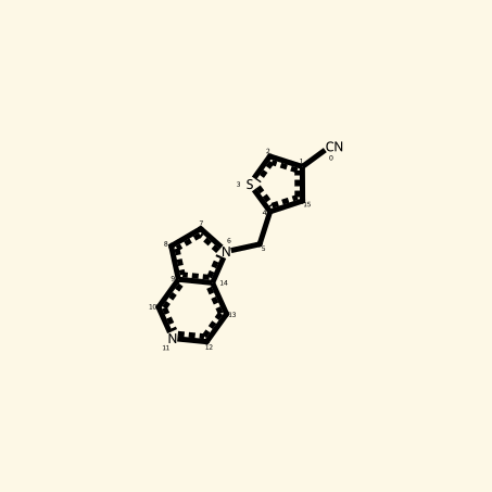 N#Cc1csc(Cn2ccc3cnccc32)c1